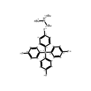 CCCC[NH+](CCCC)CCCC.Fc1ccc([B-](c2ccc(F)cc2)(c2ccc(F)cc2)c2ccc(F)cc2)cc1